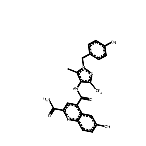 Cc1c(NC(=O)c2cc(C(N)=O)nc3ccc(O)cc23)c(C(F)(F)F)nn1Cc1ccc(C#N)cc1